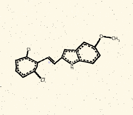 COc1ccc2[nH]c(/C=C/c3c(Cl)cccc3Cl)cc2c1